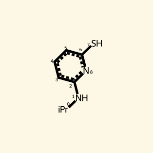 CC(C)Nc1cccc(S)n1